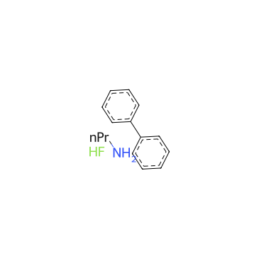 CCCN.F.c1ccc(-c2ccccc2)cc1